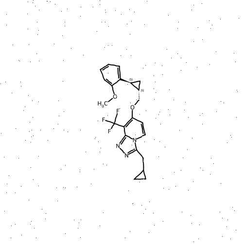 COc1ccccc1[C@H]1C[C@@H]1COc1ccn2c(CC3CC3)nnc2c1C(F)(F)F